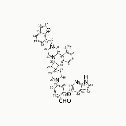 CC(C)c1ccccc1C1CN(Cc2cccc3ccoc23)CCN1C1CC2(CCN(c3ccc(C=O)c(Oc4cnc5[nH]ccc5c4)c3)CC2)C1